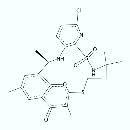 CCSc1oc2c([C@@H](C)Nc3ccc(Cl)nc3S(=O)(=O)NC(C)(C)C)cc(C)cc2c(=O)c1C